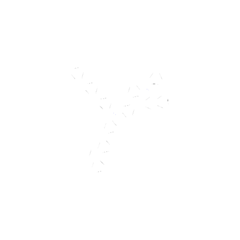 c1ccc(-c2ccc(-c3ccc(N(c4ccc(-c5ccc6c(ccc7ccccc76)c5)cc4)c4cccc(-c5cccc6c5c5ccc7ccccc7c5n6-c5ccccc5)c4)cc3)cc2)cc1